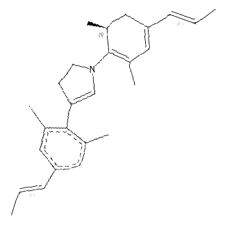 C/C=C/C1=CC(C)=C(N2C=C(c3c(C)cc(/C=C/C)cc3C)CC2)[C@@H](C)C1